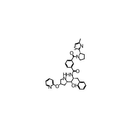 Cc1csc([C@H]2CCCN2C(=O)c2cccc(C(=O)N[C@@H](Cc3ccccc3)[C@@H](O)[C@H]3C[C@@H](Oc4ccccn4)CN3)c2)n1